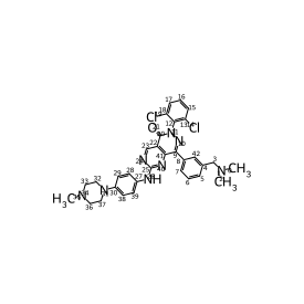 CN(C)Cc1cccc(-c2nn(-c3c(Cl)cccc3Cl)c(=O)c3cnc(Nc4ccc(N5CCN(C)CC5)cc4)nc23)c1